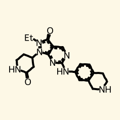 CCn1c(=O)c2cnc(Nc3ccc4c(c3)CNCC4)nc2n1C1CCNC(=O)C1